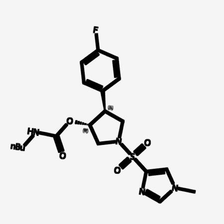 CCCCNC(=O)O[C@H]1CN(S(=O)(=O)c2cn(C)cn2)C[C@@H]1c1ccc(F)cc1